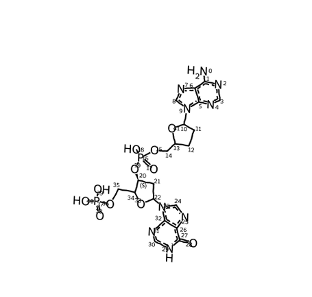 Nc1ncnc2c1ncn2C1CCC(COP(=O)(O)O[C@H]2CC(n3cnc4c(=O)[nH]cnc43)OC2COP(=O)(O)O)O1